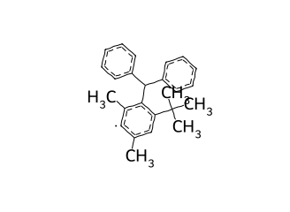 Cc1[c]c(C)c(C(c2ccccc2)c2ccccc2)c(C(C)(C)C)c1